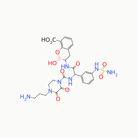 NCCCN1CCN(C(=O)NC(C(=O)NC2Cc3cccc(C(=O)O)c3OB2O)c2cccc(NS(N)(=O)=O)c2)C(=O)C1=O